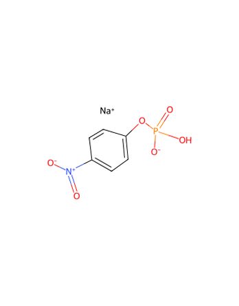 O=[N+]([O-])c1ccc(OP(=O)([O-])O)cc1.[Na+]